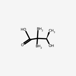 BC(B)(C(=O)O)[C@@H](C)O